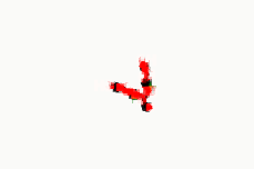 O=C(Oc1ccc(C(=O)OCC(OC(=O)c2ccc(OC(=O)c3ccc(O)cc3)cc2F)c2ccccc2)c(F)c1)c1ccc(O)cc1